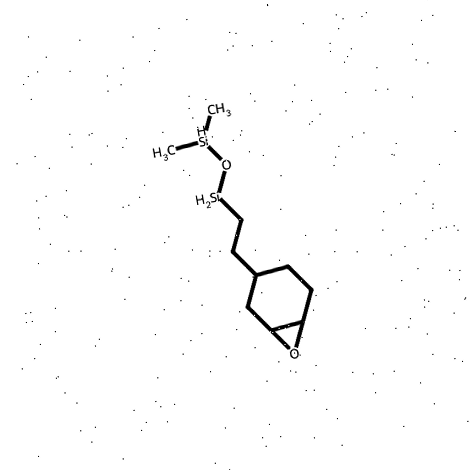 C[SiH](C)O[SiH2]CCC1CCC2OC2C1